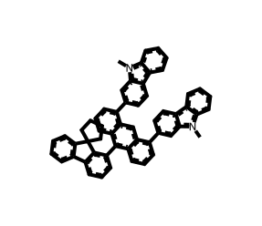 Cn1c2ccccc2c2ccc(-c3cccc4c(-c5cccc6c5C5(CCCC5)c5ccccc5-6)c5cccc(-c6ccc7c8ccccc8n(C)c7c6)c5cc34)cc21